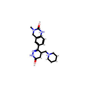 CN1Cc2cc(C3=NNC(=O)CC3CN3CCCCC3)ccc2NC1=O